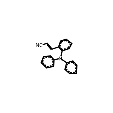 N#CC=Cc1ccccc1N(c1ccccc1)c1ccccc1